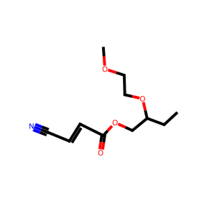 CCC(COC(=O)C=CC#N)OCCOC